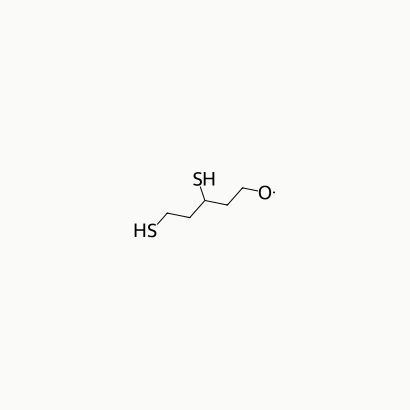 [O]CCC(S)CCS